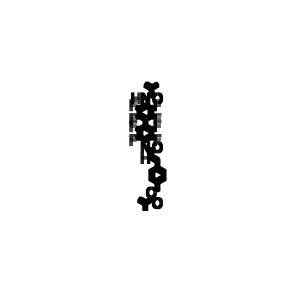 C=C(C)C(=O)Nc1c(F)c(F)c(-c2c(F)c(F)c(NC(=O)/C=C/c3ccc(COC(=O)C(=C)C)cc3)c(F)c2F)c(F)c1F